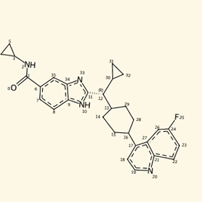 O=C(NC1CC1)c1ccc2[nH]c([C@@H](C3CCC(c4ccnc5ccc(F)cc45)CC3)C3CC3)nc2c1